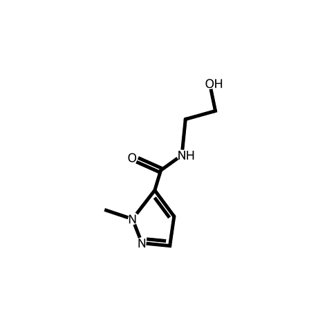 Cn1nccc1C(=O)NCCO